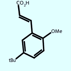 COc1ccc(C(C)(C)C)cc1C=CC(=O)O